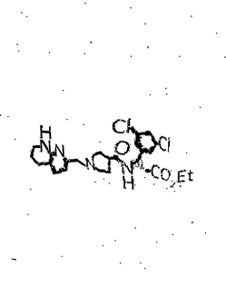 CCOC(=O)C[C@H](NC(=O)C1CCN(CCc2ccc3c(n2)NCCC3)CC1)c1cc(Cl)cc(Cl)c1